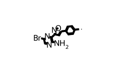 [CH2]c1ccc(-c2cc(-c3nc(Br)cnc3N)no2)cc1